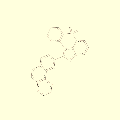 O=S1(=O)c2ccccc2-n2c(-c3ccc4ccc5cccnc5c4n3)nc3cccc1c32